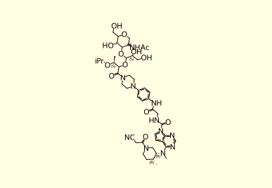 CC(=O)N[C@@H]1COC(CO)C(O)C1OC(OC(C(=O)N1CCN(c2ccc(NC(=O)CNC(=O)n3ccc4c(N(C)[C@H]5CN(C(=O)CC#N)CC[C@H]5C)ncnc43)cc2)CC1)[C@H](C)OC(C)C)[C@@H](O)CO